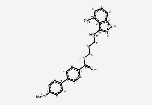 COc1ccc(-c2ccc(C(=O)NCCCNc3nsc4cccc(Cl)c34)cc2)cc1